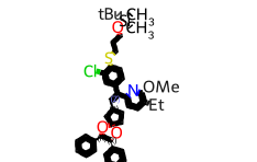 CCc1ccc(/C(=C\[C@H]2CCC3(C2)O[C@H](c2ccccc2)[C@@H](c2ccccc2)O3)c2ccc(SCCCO[Si](C)(C)C(C)(C)C)c(Cl)c2)nc1OC